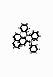 C1=CC2=CC=CC3=C4C(=CC(=C1)C23)N(c1ccccc1)c1ccccc1N4c1ccccc1